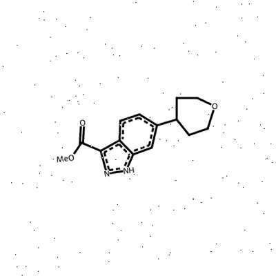 COC(=O)c1n[nH]c2cc(C3CCOCC3)ccc12